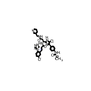 COC(=O)Nc1ccc(-c2nc(C(CC(=O)NCc3cccnc3)NC(=O)/C=C/c3cc(Cl)ccc3-n3cnnn3)[nH]c2Cl)cc1